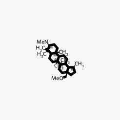 CN[C@@H]1CC[C@@]2(C)C(CC[C@]3(C)C2CCC2C4[C@H](C)CC[C@]4(COC)CC[C@]23C)C1(C)C